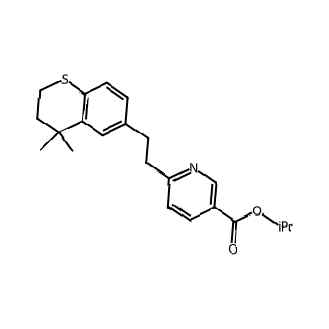 CC(C)OC(=O)c1ccc(CCc2ccc3c(c2)C(C)(C)CCS3)nc1